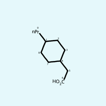 CCCC1CCC(CC(=O)O)CC1